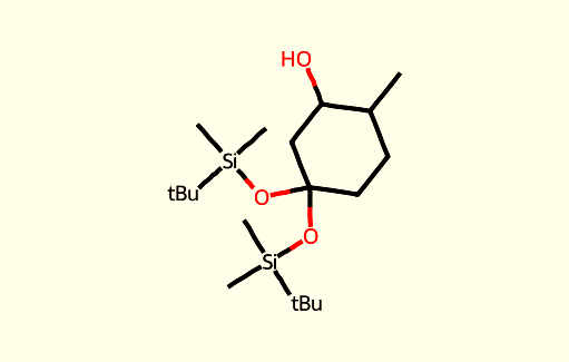 CC1CCC(O[Si](C)(C)C(C)(C)C)(O[Si](C)(C)C(C)(C)C)CC1O